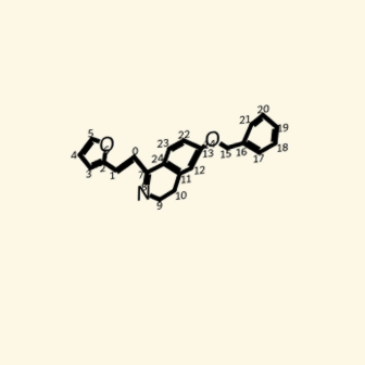 C(=Cc1ccco1)C1=NCCc2cc(OCc3ccccc3)ccc21